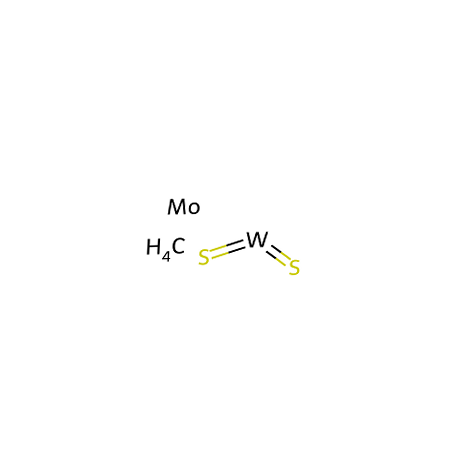 C.[Mo].[S]=[W]=[S]